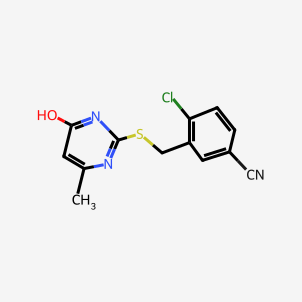 Cc1cc(O)nc(SCc2cc(C#N)ccc2Cl)n1